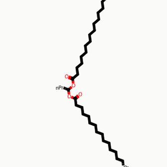 CCCC(OC(=O)CCCCCCCCCCCCCCC(C)C)OC(=O)CCCCCCCCCCCCCCC(C)C